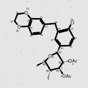 CC(=O)O[C@@H]1[C@@H](OC(C)=O)[C@H](C)[C@@H](C)O[C@H]1c1ccc(Cl)c(Cc2ccc3c(c2)OCCO3)c1